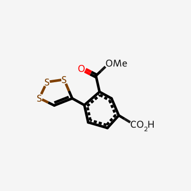 COC(=O)c1cc(C(=O)O)ccc1C1=CSSS1